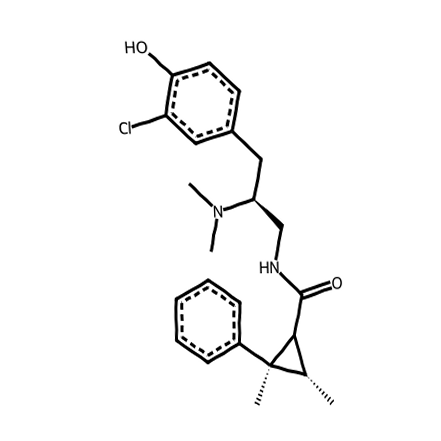 C[C@H]1C(C(=O)NC[C@H](Cc2ccc(O)c(Cl)c2)N(C)C)[C@]1(C)c1ccccc1